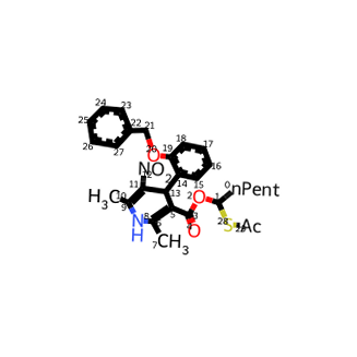 CCCCCC(OC(=O)C1=C(C)NC(C)=C([N+](=O)[O-])C1c1ccccc1OCc1ccccc1)SC(C)=O